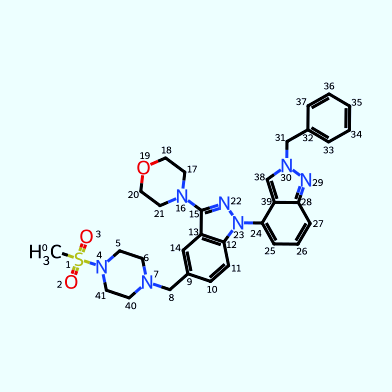 CS(=O)(=O)N1CCN(Cc2ccc3c(c2)c(N2CCOCC2)nn3-c2cccc3nn(Cc4ccccc4)cc23)CC1